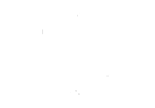 N#Cc1cc(F)c(Cl)cc1Br